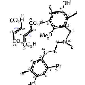 COc1c(C)c(C)c(O)c(C)c1CN(C)CCOc1cc(C)c(O)cc1C(C)C.O=C(O)/C=C/C(=O)O.O=C(O)/C=C/C(=O)O